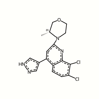 C[C@@H]1COCCN1c1cc(-c2cn[nH]c2)c2ccc(Cl)c(Cl)c2n1